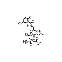 CNC(=O)[C@]1(CC(=O)OC)CC(=O)OB([C@H](CC(C)C)NC(=O)CNC(=O)c2cc(Cl)ccc2Cl)O1